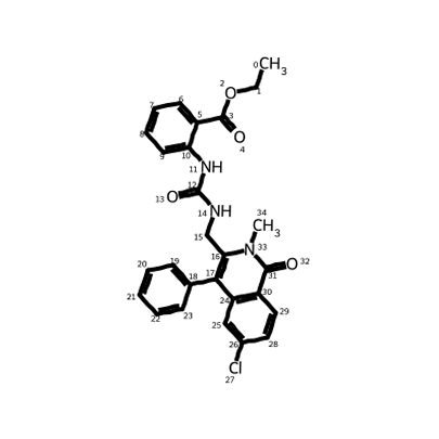 CCOC(=O)c1ccccc1NC(=O)NCc1c(-c2ccccc2)c2cc(Cl)ccc2c(=O)n1C